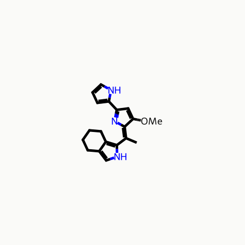 COC1=CC(c2ccc[nH]2)=NC1=C(C)c1[nH]cc2c1CCCC2